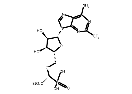 CCOC(=O)[C@H](OC[C@H]1O[C@@H](n2cnc3c(N)nc(C(F)(F)F)nc32)[C@H](O)[C@@H]1O)P(=O)(O)O